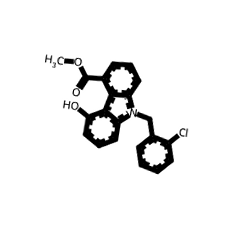 COC(=O)c1cccc2c1c1c(O)cccc1n2Cc1ccccc1Cl